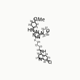 COc1ccc(Nc2nc(CCCCCNc3ccnc4cc(Cl)ccc34)nc(N3CCOCC3)n2)cc1